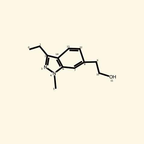 CCc1nn(C)c2cc(CCO)ccc12